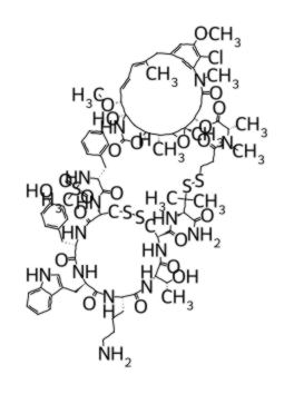 COc1cc2cc(c1Cl)N(C)C(=O)C[C@H](OC(=O)[C@H](C)N(C)C(=O)CCSSC(C)(C)[C@H](NC(=O)[C@@H]1CSSC[C@H](NC(=O)[C@@H](Cc3ccccc3)NS(C)(=O)=O)C(=O)N[C@@H](Cc3ccc(O)cc3)C(=O)N[C@H](Cc3c[nH]c4ccccc34)C(=O)N[C@@H](CCCCN)C(=O)N[C@@H]([C@@H](C)O)C(=O)N1)C(N)=O)[C@]1(C)OC1[C@H](C)[C@@H]1C[C@@](O)(NC(=O)O1)[C@H](OC)/C=C/C=C(\C)C2